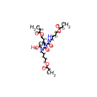 C=CC(=O)OCCCCCN(C(=O)N(CCCOC(=O)C=C)C(=O)NCCCCOC(=O)C=C)C(C)O